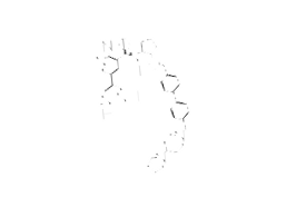 CN/C=C(\C=N)c1cnc(N)c(C(=O)NC2CCC[C@@H]2OCc2ccc(-c3ccc(CN4CCC(N5CCCC5)CC4)cc3)cc2)c1